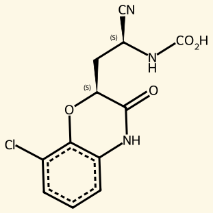 N#C[C@H](C[C@@H]1Oc2c(Cl)cccc2NC1=O)NC(=O)O